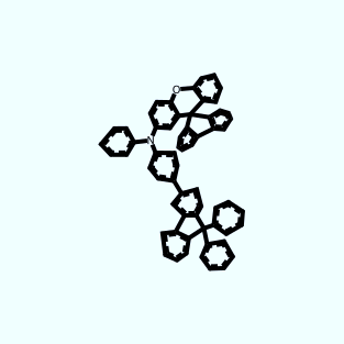 c1ccc(N(c2ccc(-c3ccc4c(c3)-c3ccccc3C4(c3ccccc3)c3ccccc3)cc2)c2ccc3c(c2)C2(c4ccccc4O3)c3ccccc3-c3ccccc32)cc1